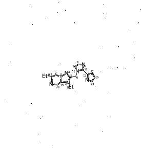 CCc1cc2nc(Cn3ccnc3-c3nccs3)n(CC)c2cn1